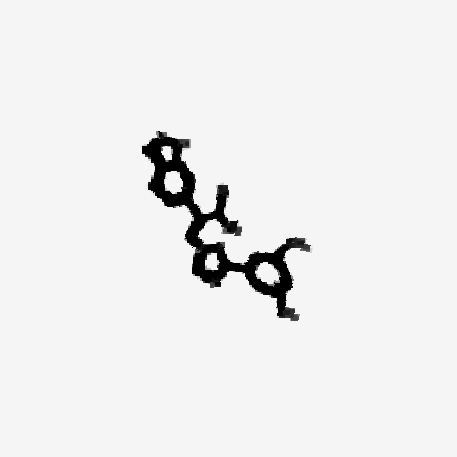 Cc1cc(C)cc(-c2ncn(C=C(C(N)=O)c3ccc4cn[nH]c4c3)n2)c1